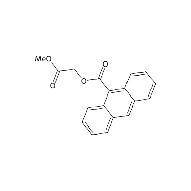 COC(=O)COC(=O)c1c2ccccc2cc2ccccc12